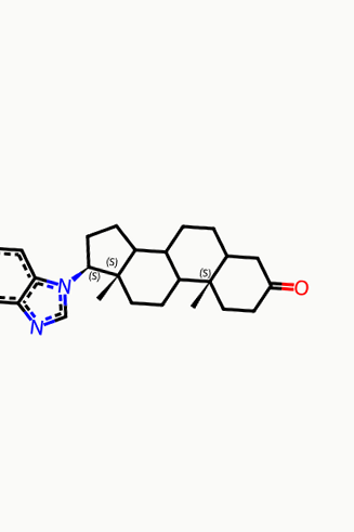 C[C@]12CCC(=O)CC1CCC1C2CC[C@@]2(C)C1CC[C@@H]2n1cnc2ccccc21